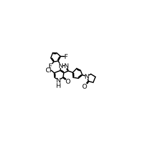 O=C1CCCN1c1ccc(-c2nn(-c3c(F)cccc3F)c3c(Cl)c[nH]c(=O)c23)cc1